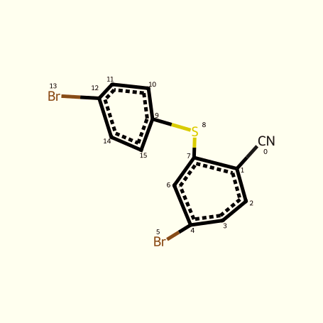 N#Cc1ccc(Br)cc1Sc1ccc(Br)cc1